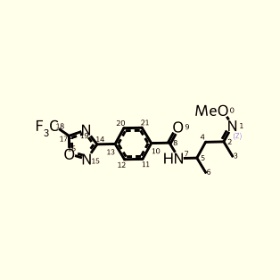 CO/N=C(/C)CC(C)NC(=O)c1ccc(-c2noc(C(F)(F)F)n2)cc1